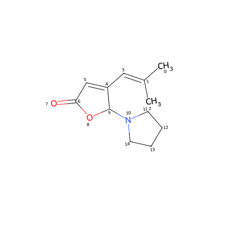 CC(C)=CC1=CC(=O)OC1N1CCCC1